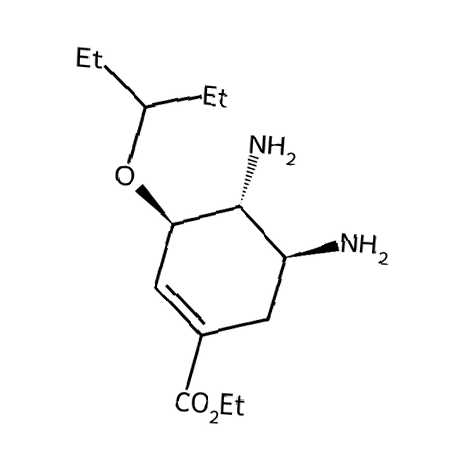 CCOC(=O)C1=C[C@@H](OC(CC)CC)[C@H](N)[C@@H](N)C1